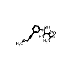 COCC#Cc1cccc(N(O)C(=N)c2nonc2N)c1